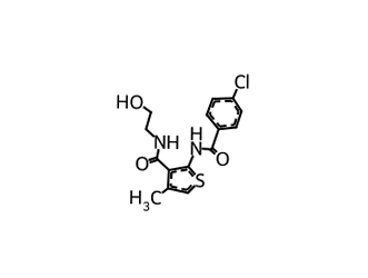 Cc1csc(NC(=O)c2ccc(Cl)cc2)c1C(=O)NCCO